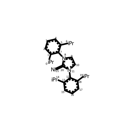 CC(C)c1cccc(C(C)C)c1-n1ccn(-c2c(C(C)C)cccc2C(C)C)[c]1=[Ni]